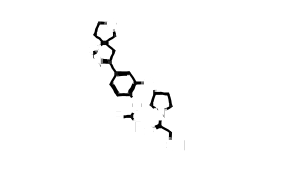 CCC(=O)N1CC[C@H](Oc2cc(C3=NOC4(CCOC4)C3)ccc2OC(F)F)C1